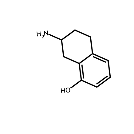 NC1CCc2cccc(O)c2C1